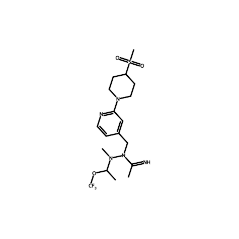 CC(=N)N(Cc1ccnc(N2CCC(S(C)(=O)=O)CC2)c1)N(C)C(C)OC(F)(F)F